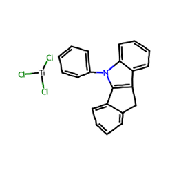 [Cl][Ti]([Cl])[Cl].c1ccc(-n2c3c(c4ccccc42)Cc2ccccc2-3)cc1